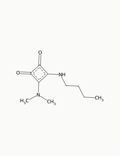 CCCCNc1c(N(C)C)c(=O)c1=O